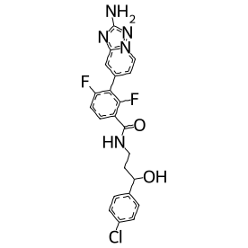 Nc1nc2cc(-c3c(F)ccc(C(=O)NCCC(O)c4ccc(Cl)cc4)c3F)ccn2n1